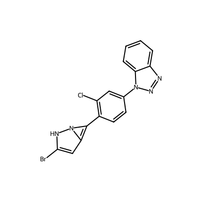 Clc1cc(-n2nnc3ccccc32)ccc1C1=C2C=C(Br)NN21